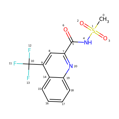 CS(=O)(=O)NC(=O)c1cc(C(F)(F)F)c2ccccc2n1